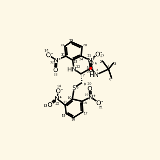 CC(C)(C)NC(=O)[C@H](CSc1c([N+](=O)[O-])cccc1[N+](=O)[O-])Nc1c([N+](=O)[O-])cccc1[N+](=O)[O-]